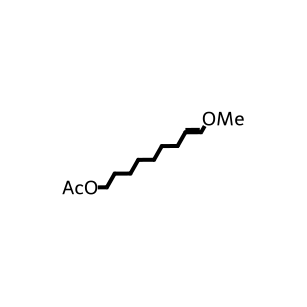 COC=CCCCCCCCOC(C)=O